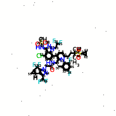 CC(C)(CCc1ccc(-c2ccc(Cl)c3c(NS(C)(=O)=O)nn(CC(F)F)c23)c([C@H](Cc2cc(F)cc(F)c2)NC(=O)Cn2nc(C(F)F)c3c2C(F)(F)C2C[C@H]32)n1)S(=O)(=O)C1CC1